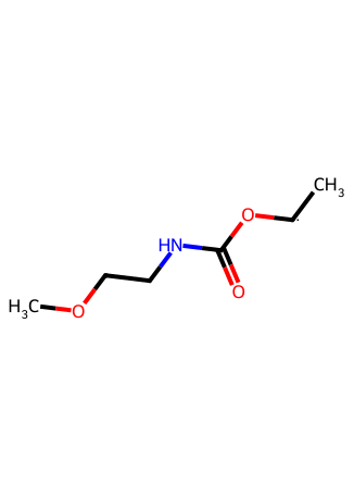 C[CH]OC(=O)NCCOC